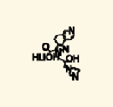 O=C(O)c1c2c(nn1CC(O)Cn1ccnc1)-c1ccncc1CC2.[LiH]